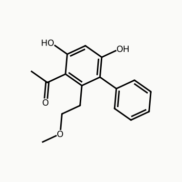 COCCc1c(C(C)=O)c(O)cc(O)c1-c1ccccc1